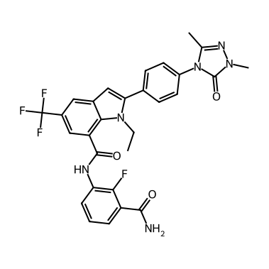 CCn1c(-c2ccc(-n3c(C)nn(C)c3=O)cc2)cc2cc(C(F)(F)F)cc(C(=O)Nc3cccc(C(N)=O)c3F)c21